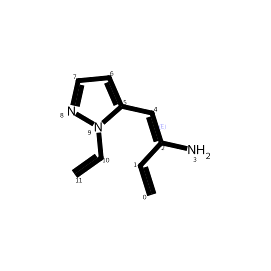 C=C/C(N)=C\c1ccnn1C=C